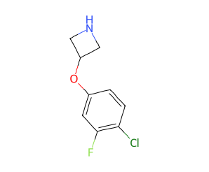 Fc1cc(OC2CNC2)ccc1Cl